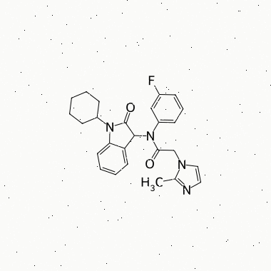 Cc1nccn1CC(=O)N(c1cccc(F)c1)C1C(=O)N(C2CCCCC2)c2ccccc21